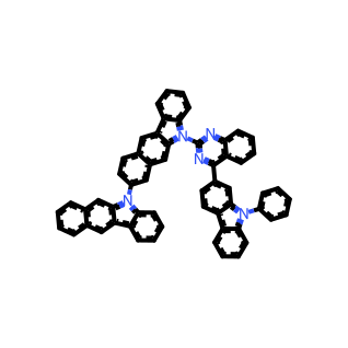 c1ccc(-n2c3ccccc3c3ccc(-c4nc(-n5c6ccccc6c6cc7ccc(-n8c9ccccc9c9cc%10ccccc%10cc98)cc7cc65)nc5ccccc45)cc32)cc1